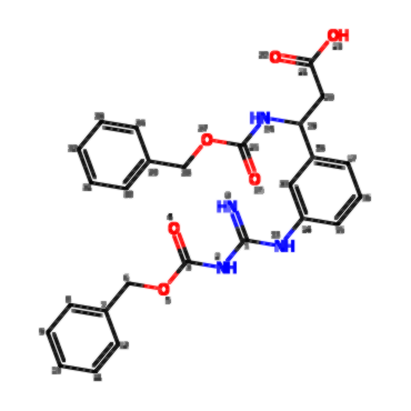 N=C(NC(=O)OCc1ccccc1)Nc1cccc(C(CC(=O)O)NC(=O)OCc2ccccc2)c1